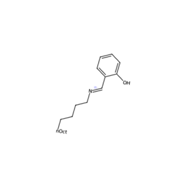 CCCCCCCCCCCC/N=C/c1ccccc1O